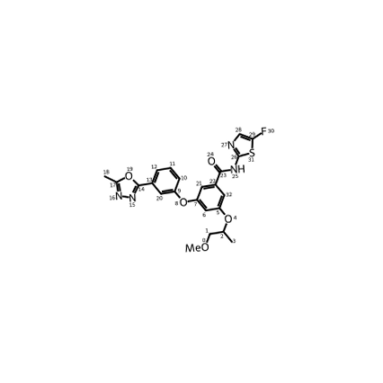 COCC(C)Oc1cc(Oc2cccc(-c3nnc(C)o3)c2)cc(C(=O)Nc2ncc(F)s2)c1